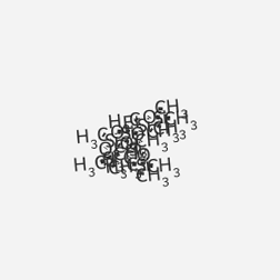 [CH2]C[Si](O[Si](C)(C)O[Si](C)(C)C)(O[Si](C)(C)O[Si](C)(C)C)O[Si](C)(C)O[Si](C)(C)C